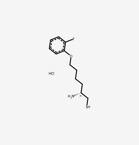 Cl.N[C@@H](CS)CCCCOc1ccccc1F